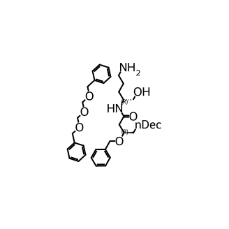 CCCCCCCCCCC[C@H](CC(=O)N[C@@H](CO)CCCN)OCc1ccccc1.c1ccc(COCOCOCc2ccccc2)cc1